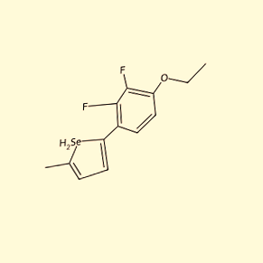 CCOc1ccc(C2=CC=C(C)[SeH2]2)c(F)c1F